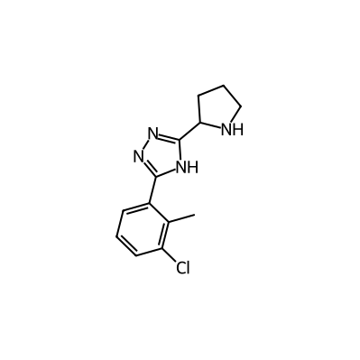 Cc1c(Cl)cccc1-c1nnc(C2CCCN2)[nH]1